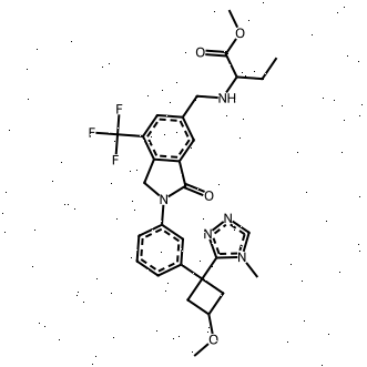 CCC(NCc1cc2c(c(C(F)(F)F)c1)CN(c1cccc(C3(c4nncn4C)CC(OC)C3)c1)C2=O)C(=O)OC